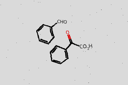 O=C(O)C(=O)c1ccccc1.O=Cc1ccccc1